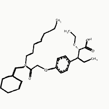 CCCCCCCN(CC1CCCCC1)C(=O)COc1ccc(C(CC)[C@H](OCC)C(=O)O)cc1